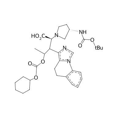 CC(OC(=O)OC1CCCCC1)C(c1ncn2c1CCc1ccccc1-2)[C@@H](C(=O)O)N1CC[C@H](NC(=O)OC(C)(C)C)C1